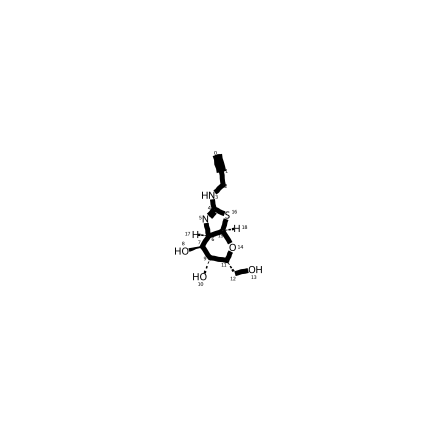 C#CCNC1=N[C@@H]2[C@H](O)[C@@H](O)[C@@H](CO)O[C@@H]2S1